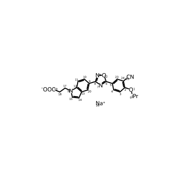 CC(C)Oc1ccc(-c2nc(-c3ccc4c(ccn4CCC(=O)[O-])c3)no2)cc1C#N.[Na+]